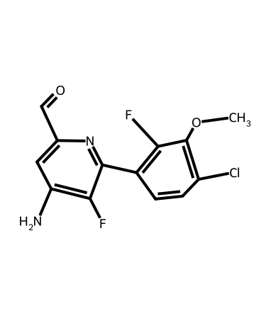 COc1c(Cl)ccc(-c2nc(C=O)cc(N)c2F)c1F